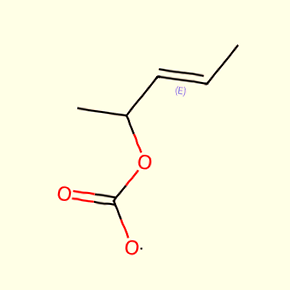 C/C=C/C(C)OC([O])=O